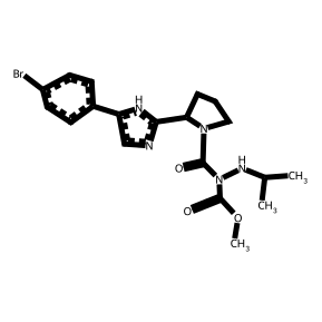 COC(=O)N(NC(C)C)C(=O)N1CCCC1c1ncc(-c2ccc(Br)cc2)[nH]1